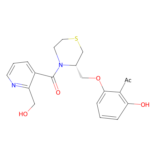 CC(=O)c1c(O)cccc1OC[C@H]1CSCCN1C(=O)c1cccnc1CO